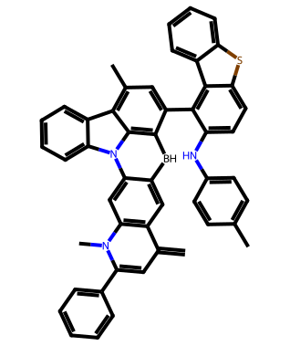 C=C1C=C(c2ccccc2)N(C)c2cc3c(cc21)Bc1c(-c2c(Nc4ccc(C)cc4)ccc4sc5ccccc5c24)cc(C)c2c4ccccc4n-3c12